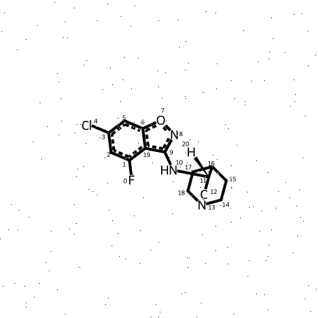 Fc1cc(Cl)cc2onc(N[C@H]3CN4CCC3CC4)c12